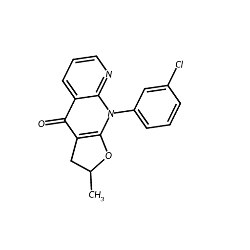 CC1Cc2c(n(-c3cccc(Cl)c3)c3ncccc3c2=O)O1